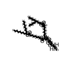 CCCCCCCCC(CCCCCCCC)OC(=O)CCCCCCCOC(=O)[C@@H]1C[C@H](OC(=O)CC(=O)NCCNC)CN1CCCCCCC(C)(C)C(=O)OCCCC(CCCCC)CCCCC